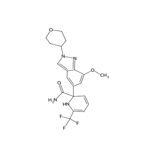 COc1cc(C2(C(N)=O)C=CC=C(C(F)(F)F)N2)cc2cn(C3CCOCC3)nc12